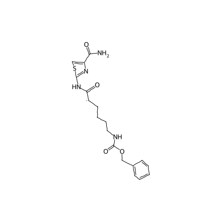 NC(=O)c1csc(NC(=O)[CH]CCCCNC(=O)OCc2ccccc2)n1